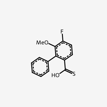 COc1c(F)ccc(C(O)=S)c1-c1ccccc1